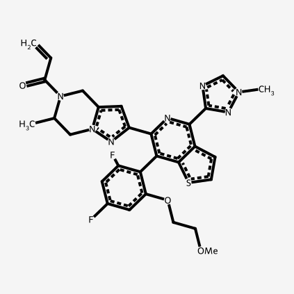 C=CC(=O)N1Cc2cc(-c3nc(-c4ncn(C)n4)c4ccsc4c3-c3c(F)cc(F)cc3OCCOC)nn2CC1C